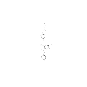 CCN(CC)c1ncc(N(CC)S(=O)(=O)c2ccc(F)cc2)c(N[C@@H](Cc2ccc(OC(=O)N3CCCC3)cc2)C(=O)O)n1